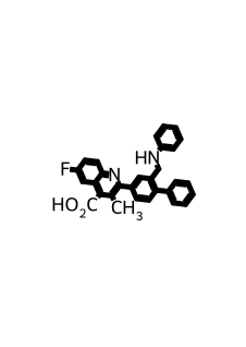 Cc1c(-c2ccc(-c3ccccc3)c(CNc3ccccc3)c2)nc2ccc(F)cc2c1C(=O)O